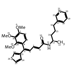 COc1ccc(/C(=C\C=C\C(=O)N[C@H](C)CCCc2cccnc2)c2ccsc2)c(OC)c1OC